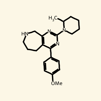 COc1ccc(-c2nc(N3CCCCC3C)nc3c2CCCNC3)cc1